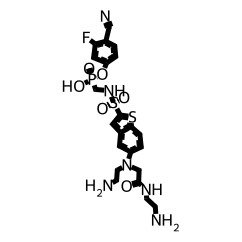 N#Cc1ccc(OP(=O)(O)CNS(=O)(=O)c2cc3cc(N(CCN)CC(=O)NCCN)ccc3s2)cc1F